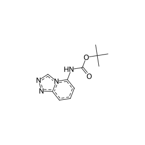 CC(C)(C)OC(=O)Nc1cccc2nncn12